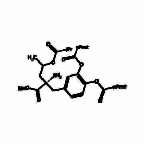 CCCCCC(=O)Oc1ccc(C[C@](N)(CC(C)OC(=O)C(C)C)C(=O)OC)cc1OC(=O)CCCCC